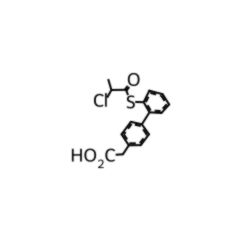 CC(Cl)C(=O)Sc1ccccc1-c1ccc(CC(=O)O)cc1